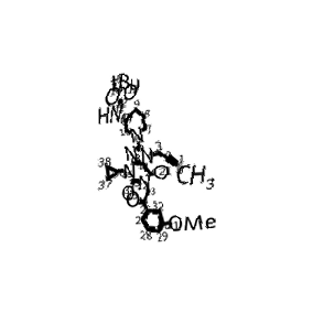 CC#CCn1c(N2CCC[C@@H](NC(=O)OC(C)(C)C)C2)nc2c1c(=O)n(CC(=O)c1cccc(OC)c1)c(=O)n2C1CC1